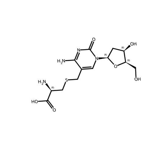 Nc1nc(=O)n([C@H]2C[C@@H](O)[C@@H](CO)O2)cc1CSC[C@H](N)C(=O)O